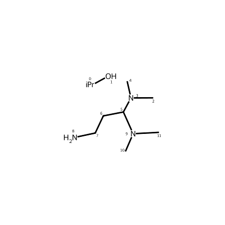 CC(C)O.CN(C)C(CCN)N(C)C